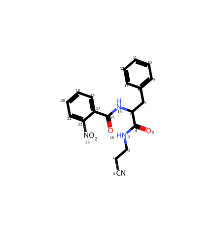 N#CCCNC(=O)C(Cc1ccccc1)NC(=O)c1ccccc1[N+](=O)[O-]